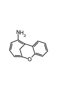 NC1=C2CC(=CC=C1)Oc1ccccc12